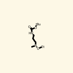 CCON(C)CCCNC(=O)OC(C)(C)C